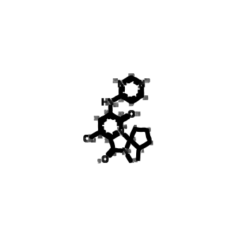 CC1CCCC12N(C)C(=O)c1c(Cl)cc(Nc3ccncn3)c(=O)n12